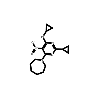 O=[N+]([O-])c1c(NC2CC2)nc(C2CC2)nc1N1CCCCCC1